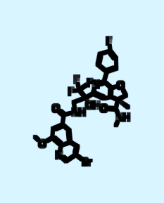 CNC(=O)[C@@]1(C)COc2c1cc([C@@](O)(CNC(=O)c1cc(OC)c3ncc(Br)cc3c1)C(F)(F)F)nc2-c1ccc(F)cc1